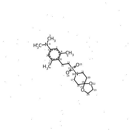 Cc1cc(N(C)C)cc(C)c1CCS(=O)(=O)N1CCC2(CC1)OCCO2